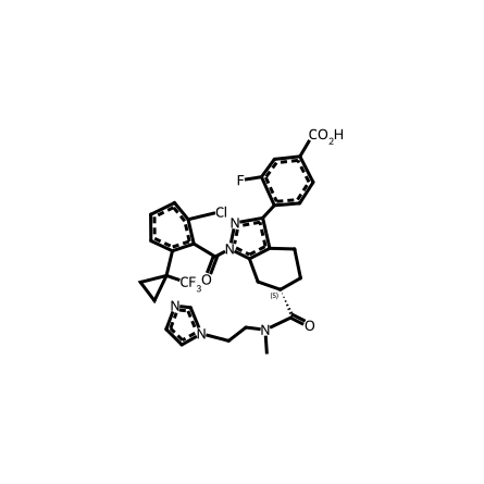 CN(CCn1ccnc1)C(=O)[C@H]1CCc2c(-c3ccc(C(=O)O)cc3F)nn(C(=O)c3c(Cl)cccc3C3(C(F)(F)F)CC3)c2C1